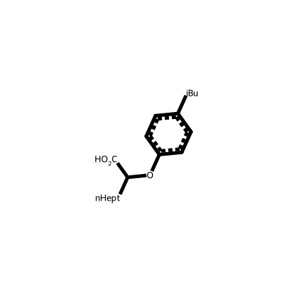 CCCCCCCC(Oc1ccc(C(C)CC)cc1)C(=O)O